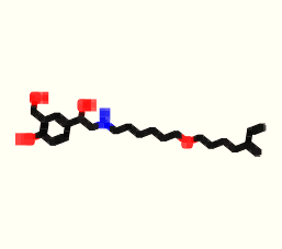 C=CC(=C)CCCCOCCCCCCNCC(O)c1ccc(O)c(CO)c1